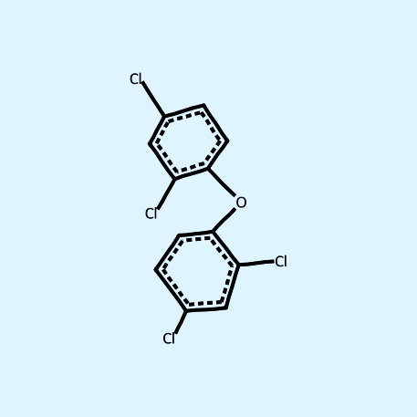 Clc1ccc(Oc2ccc(Cl)cc2Cl)c(Cl)c1